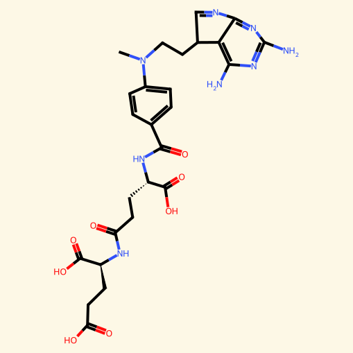 CN(CCC1C=Nc2nc(N)nc(N)c21)c1ccc(C(=O)N[C@@H](CCC(=O)N[C@@H](CCC(=O)O)C(=O)O)C(=O)O)cc1